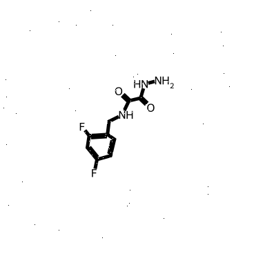 NNC(=O)C(=O)NCc1ccc(F)cc1F